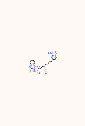 COCCN(CCCCc1nc2c(cc1C)CCCN2)CC[C@H](Nc1nc(Cl)nc2ccccc12)C(=O)O